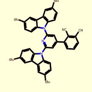 CC(C)(C)c1ccc2c(c1)c1cc(C(C)(C)C)ccc1n2-c1cc(-c2cccc(C#N)c2C#N)cc(-n2c3ccc(C(C)(C)C)cc3c3cc(C(C)(C)C)ccc32)n1